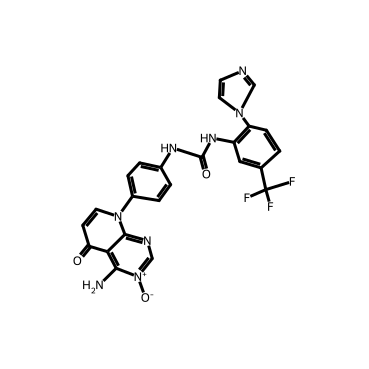 Nc1c2c(=O)ccn(-c3ccc(NC(=O)Nc4cc(C(F)(F)F)ccc4-n4ccnc4)cc3)c2nc[n+]1[O-]